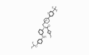 O=C(N(CC12CCC(c3ccc(C(F)(F)F)cn3)(CC1)CC2)c1cccc(Nc2ccc(OC(F)F)cc2)c1)C12CC(F)(C1)C2